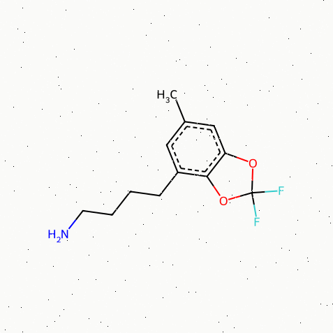 Cc1cc(CCCCN)c2c(c1)OC(F)(F)O2